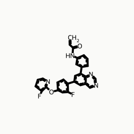 C=CC(=O)Nc1cccc(-c2cc(-c3ccc(Oc4ncccc4F)cc3F)cc3cncnc23)c1